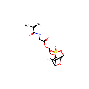 C=C(C)C(=O)NCC(=O)OCCOC1(C)C2CC3C(O2)C1OS3(=O)=O